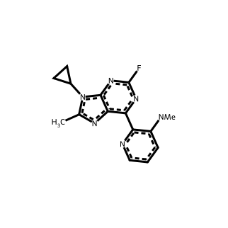 CNc1cccnc1-c1nc(F)nc2c1nc(C)n2C1CC1